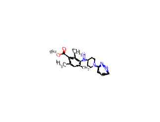 Cc1cc(C)c(C(=O)OC(C)(C)C)c(C)c1NC1CCN(c2cccnn2)CC1